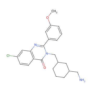 COc1cccc(-c2nc3cc(Cl)ccc3c(=O)n2CC2CCCC(CN)C2)c1